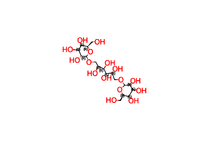 OC[C@H]1OC(OC[C@@H](O)[C@H](O)[C@H](O)[C@@H](O)COC2O[C@H](CO)[C@@H](O)[C@H](O)[C@H]2O)[C@H](O)[C@@H](O)[C@@H]1O